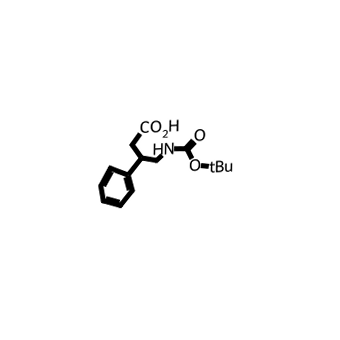 CC(C)(C)OC(=O)NCC(CC(=O)O)c1ccccc1